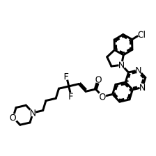 O=C(C=CC(F)(F)CCCCN1CCOCC1)Oc1ccc2ncnc(N3CCc4ccc(Cl)cc43)c2c1